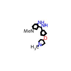 CNc1ccc(N)c(C(=N)c2ccc(OC3CCN(C)CC3)cc2)c1